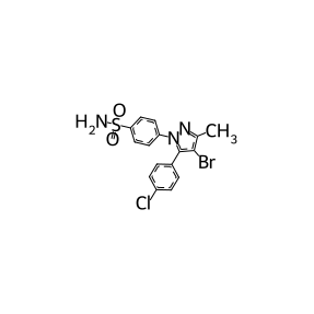 Cc1nn(-c2ccc(S(N)(=O)=O)cc2)c(-c2ccc(Cl)cc2)c1Br